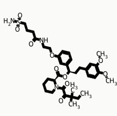 CCC(C)(C)C(=O)C(=O)N1CCCC[C@H]1C(=O)O[C@H](CCc1ccc(OC)c(OC)c1)c1cccc(OCCNC(=O)CCCS(N)(=O)=O)c1